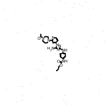 CCCOC(=O)Nc1ccc(Nc2nc(N)n(-c3ccnc(N4CCCN(C(C)=O)CC4)c3)n2)cc1